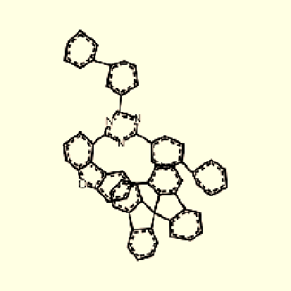 c1ccc(-c2ccc(-c3nc(-c4cccc(-c5ccccc5)c4)nc(-c4cccc5oc6ccc(-c7cccc8c7C7(c9ccccc9-c9ccccc97)c7ccccc7-8)cc6c45)n3)cc2)cc1